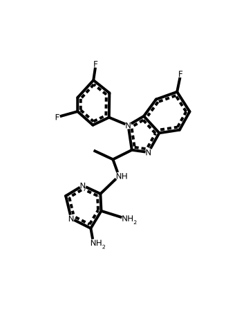 CC(Nc1ncnc(N)c1N)c1nc2ccc(F)cc2n1-c1cc(F)cc(F)c1